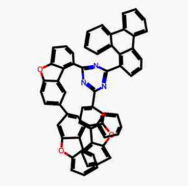 c1ccc(-c2cc(-c3ccc4oc5cccc(-c6nc(-c7ccc8c(c7)oc7ccccc78)nc(-c7cccc8c9ccccc9c9ccccc9c78)n6)c5c4c3)cc3oc4ccccc4c23)cc1